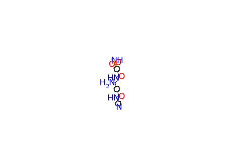 CNS(=O)(=O)c1ccc(C(=O)NCC(N)c2ccc(C(=O)Nc3ccncc3)cc2)cc1